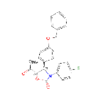 COC(=O)[C@H]1OC(=O)N(c2ccc(F)cc2)[C@@H]1c1ccc(OCc2ccccc2)cc1